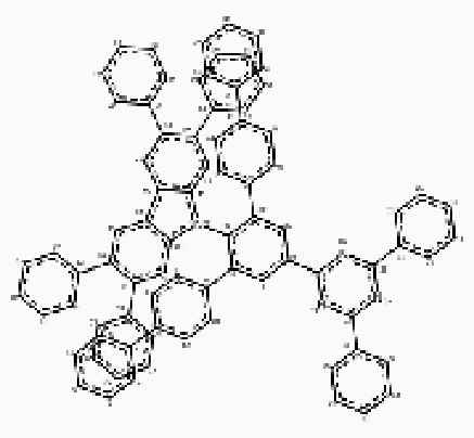 c1ccc(-c2ccc(-c3cc(-c4nc(-c5ccccc5)nc(-c5ccccc5)n4)cc(-c4ccc(-c5ccccc5)cc4)c3-n3c4cc(-c5ccccc5)c(-c5ccccc5)cc4c4cc(-c5ccccc5)c(-c5ccccc5)cc43)cc2)cc1